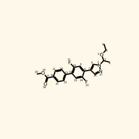 CCOC(C)n1cc(-c2cc(F)c(-c3ccc(C(=O)OC)cc3)cc2F)cn1